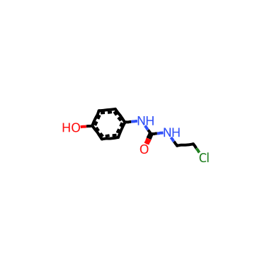 O=C(NCCCl)Nc1ccc(O)cc1